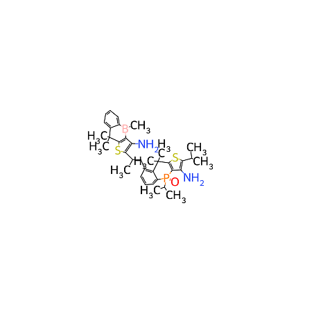 CB1c2ccccc2C(C)(C)c2sc(C(C)Cc3cccc4c3C(C)(C)c3sc(C(C)C)c(N)c3P4(=O)C(C)C)c(N)c21